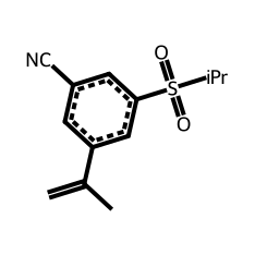 C=C(C)c1cc(C#N)cc(S(=O)(=O)C(C)C)c1